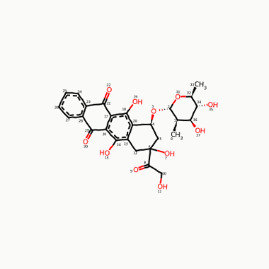 C[C@H]1[C@H](O[C@H]2CC(O)(C(=O)CO)Cc3c(O)c4c(c(O)c32)C(=O)c2ccccc2C4=O)O[C@@H](C)[C@H](O)[C@H]1O